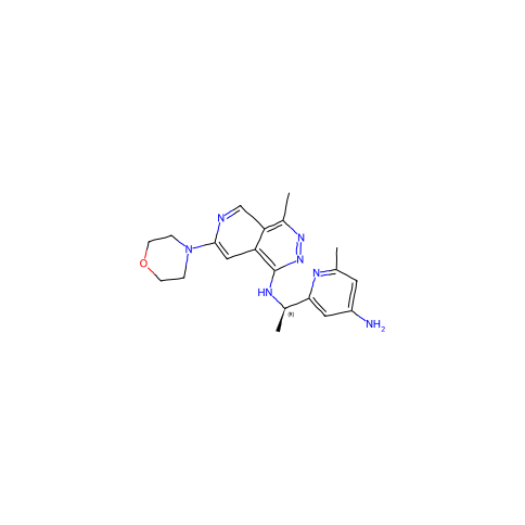 Cc1cc(N)cc([C@@H](C)Nc2nnc(C)c3cnc(N4CCOCC4)cc23)n1